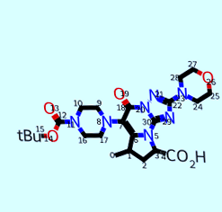 CC1CC(C(=O)O)n2c1c(N1CCN(C(=O)OC(C)(C)C)CC1)c(=O)n1nc(N3CCOCC3)nc21